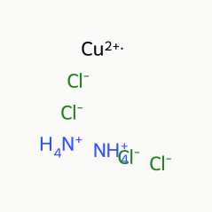 [Cl-].[Cl-].[Cl-].[Cl-].[Cu+2].[NH4+].[NH4+]